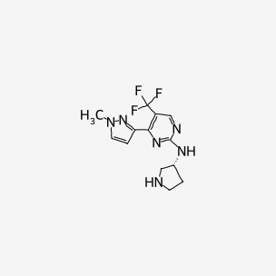 Cn1ccc(-c2nc(N[C@@H]3CCNC3)ncc2C(F)(F)F)n1